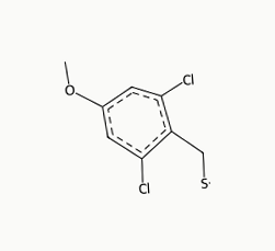 COc1cc(Cl)c(C[S])c(Cl)c1